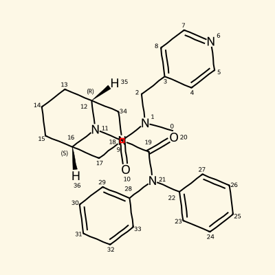 CN(Cc1ccncc1)C(=O)N1[C@@H]2CCC[C@H]1CN(C(=O)N(c1ccccc1)c1ccccc1)C2